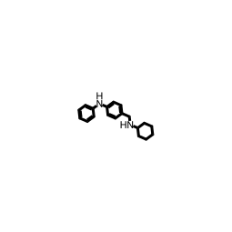 c1ccc(Nc2ccc(CNC3CCCCC3)cc2)cc1